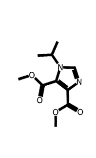 COC(=O)c1ncn(C(C)C)c1C(=O)OC